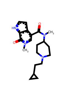 CN(C(=O)c1cn(C)c(=O)c2[nH]ccc12)C1CCN(CCC2CC2)CC1